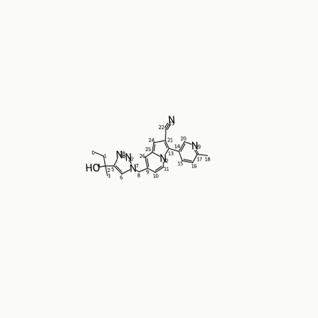 CCC(C)(O)c1cn(Cc2ccn3c(-c4ccc(C)nc4)c(C#N)cc3c2)nn1